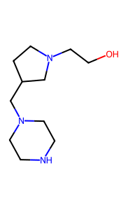 OCCN1CCC(CN2CCNCC2)C1